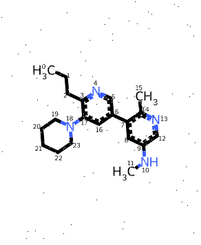 CCCc1ncc(-c2cc(NC)cnc2C)cc1N1CCCCC1